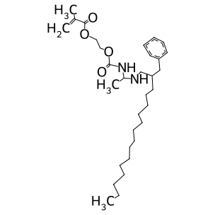 C=C(C)C(=O)OCCOC(=O)NC(C)NCC(CCCCCCCCCCCCCC)Cc1ccccc1